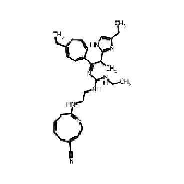 CCNC(/N=C(/C1=CC=C(CC)CC=C1)C(C)c1nc(CC)c[nH]1)NCCN/C1=N/C/C=C(/C#N)C/C=C\C1